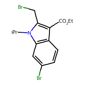 CCOC(=O)c1c(CBr)n(C(C)C)c2cc(Br)ccc12